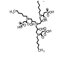 CCCCCCN(CC(O)CN(CC(O)CN(CCCCCC)C(=O)CS(=O)(=O)O)CC(O)CN(CCCCCC)C(=O)CS(=O)(=O)O)C(=O)CS(=O)(=O)O